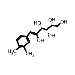 Cc1ccc(C=C(O)[C@H](O)[C@@H](O)[C@H](O)CO)cc1C